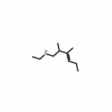 CC/C=C(\C)C(C)CNCC